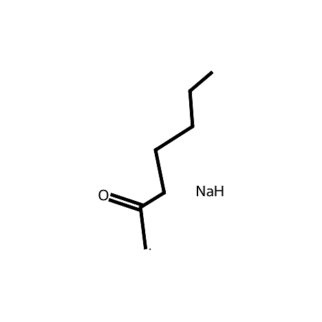 [CH2]C(=O)CCCCC.[NaH]